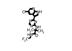 CC(C)(Nc1ncnc(-c2c[nH]c3ncc(Cl)cc23)n1)C(=O)NCC(F)(F)F